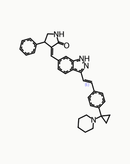 O=C1NCC(c2ccccc2)C1=Cc1ccc2c(/C=C/c3ccc(C4(N5CCCCC5)CC4)cc3)n[nH]c2c1